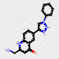 NCc1cc(=O)c2cc(-c3cn(-c4ccccc4)nn3)ccc2[nH]1